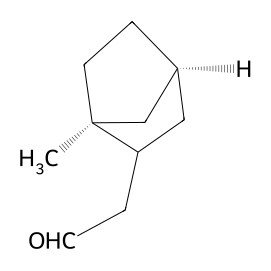 C[C@@]12CC[C@@H](CC1CC=O)C2